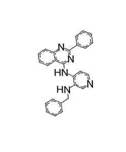 c1ccc(CNc2cnccc2Nc2nc(-c3ccccc3)nc3ccccc23)cc1